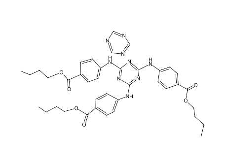 CCCCOC(=O)c1ccc(Nc2nc(Nc3ccc(C(=O)OCCCC)cc3)nc(Nc3ccc(C(=O)OCCCC)cc3)n2)cc1.c1ncncn1